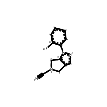 N#CN1Cc2cnn(-c3ccccc3F)c2C1